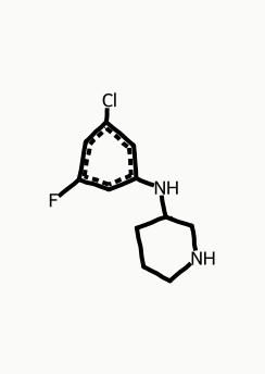 Fc1cc(Cl)cc(N[C]2CCCNC2)c1